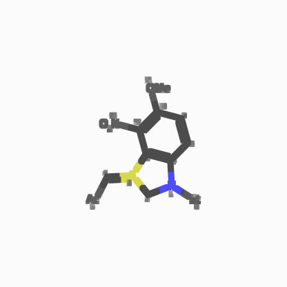 CCN1CS(=CC(C)=O)c2c1ccc(OC)c2[N+](=O)[O-]